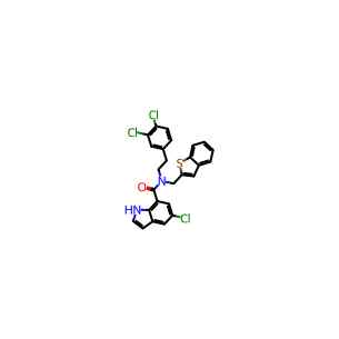 O=C(c1cc(Cl)cc2cc[nH]c12)N(CCc1ccc(Cl)c(Cl)c1)Cc1cc2ccccc2s1